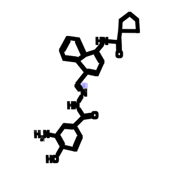 Nc1cc(C(=O)N/N=C/c2ccc(NC(=O)C3CCCC3)c3ccccc23)ccc1O